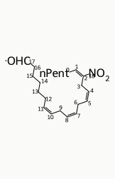 CCCCC/C=C(\C/C=C\C/C=C\C/C=C\CCCCC[C]=O)[N+](=O)[O-]